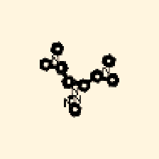 c1ccc(-n2c3ccccc3c3cc(-c4ccc5c(c4)c4cc(-c6ccc7c(c6)c6ccccc6n7-c6ccccc6)ccc4n5-c4cnc5ccccc5n4)ccc32)cc1